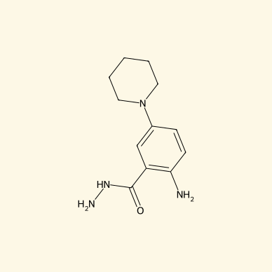 NNC(=O)c1cc(N2CCCCC2)ccc1N